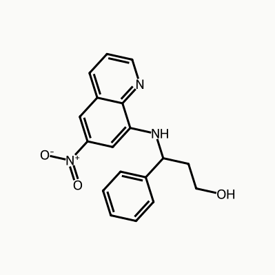 O=[N+]([O-])c1cc(NC(CCO)c2ccccc2)c2ncccc2c1